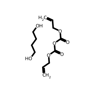 C=CCOC(=O)OC(=O)OCC=C.OCCCCO